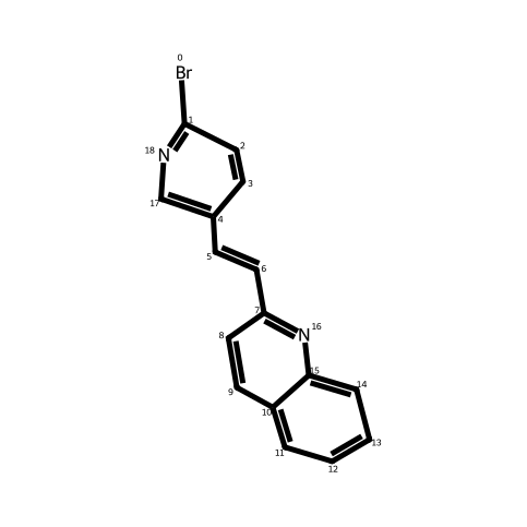 Brc1ccc(/C=C/c2ccc3ccccc3n2)cn1